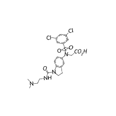 CN(C)CCNC(=O)N1CCc2cc(N(CC(=O)O)S(=O)(=O)c3cc(Cl)cc(Cl)c3)ccc21